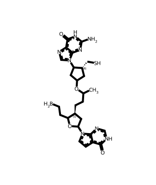 BCCC1OC(n2ccc3c(=O)[nH]cnc32)C[C@@H]1CCC(C)OC1CC(n2cnc3c(=O)[nH]c(N)nc32)[C@H](CS)C1